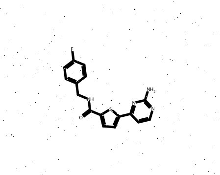 Nc1nccc(-c2ccc(C(=O)NCc3ccc(F)cc3)s2)n1